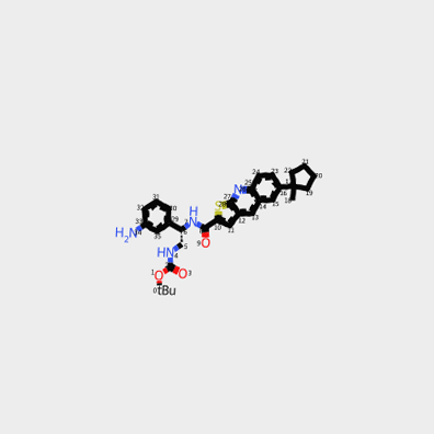 CC(C)(C)OC(=O)NC[C@@H](NC(=O)c1cc2cc3cc(C4(C)CCCC4)ccc3nc2s1)c1cccc(N)c1